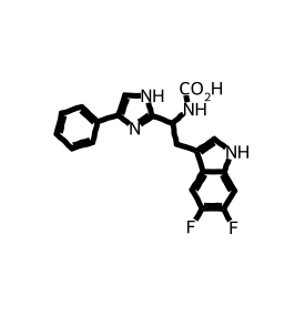 O=C(O)NC(Cc1c[nH]c2cc(F)c(F)cc12)c1nc(-c2ccccc2)c[nH]1